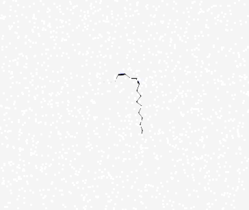 CCCCCC/C=C\C/C=C\CCCCCCCCO